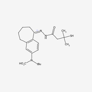 CC(C)(S)CC(=O)N/N=C1/CCCCc2cc(N(C(=O)O)C(C)(C)C)ccc21